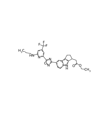 CCCNc1cc(C(F)(F)F)cc(-c2nc(-c3ccc4[nH]c5c(c4c3)CCC5CC(=O)OCC)no2)n1